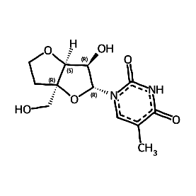 Cc1cn([C@@H]2O[C@@]3(CO)CCO[C@H]3[C@H]2O)c(=O)[nH]c1=O